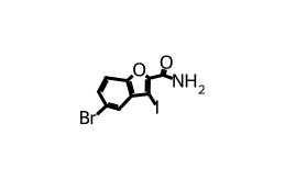 NC(=O)c1oc2ccc(Br)cc2c1I